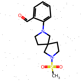 CS(=O)(=O)N1CCC2(CCN(c3ccccc3C=O)C2)C1